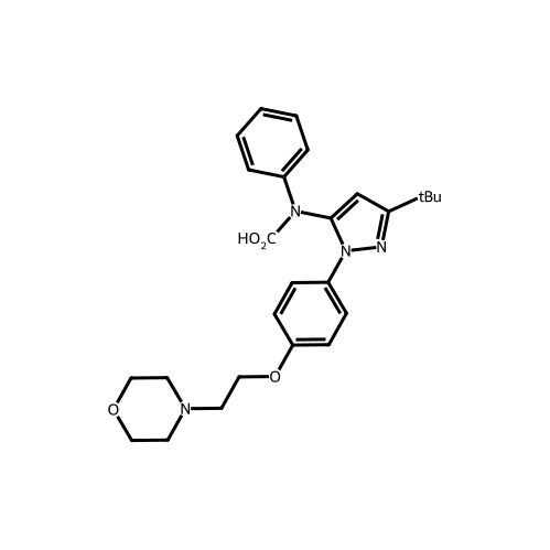 CC(C)(C)c1cc(N(C(=O)O)c2ccccc2)n(-c2ccc(OCCN3CCOCC3)cc2)n1